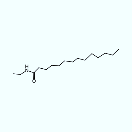 CCCCCCCCCCCCCC(=O)NCC